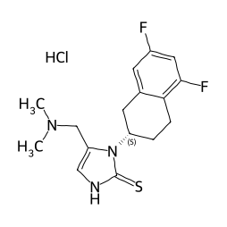 CN(C)Cc1c[nH]c(=S)n1[C@H]1CCc2c(F)cc(F)cc2C1.Cl